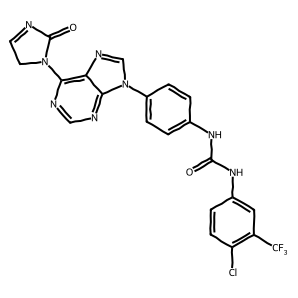 O=C(Nc1ccc(-n2cnc3c(N4CC=NC4=O)ncnc32)cc1)Nc1ccc(Cl)c(C(F)(F)F)c1